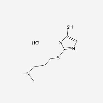 CN(C)CCCSc1ncc(S)s1.Cl